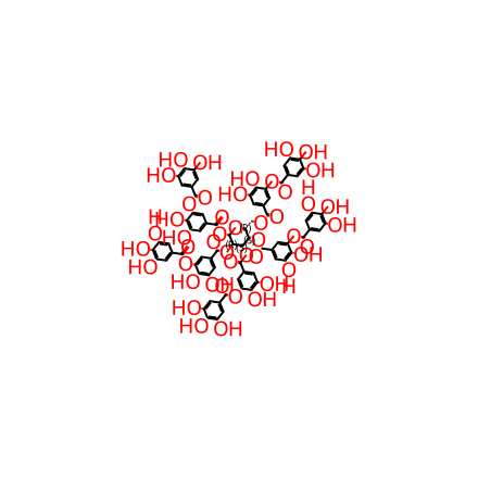 O=C(OC[C@H]1OC(OC(=O)c2cc(O)c(O)c(OC(=O)c3cc(O)c(O)c(O)c3)c2)[C@H](OC(=O)c2cc(O)c(O)c(OC(=O)c3cc(O)c(O)c(O)c3)c2)[C@@H](OC(=O)c2cc(O)c(O)c(OC(=O)c3cc(O)c(O)c(O)c3)c2)[C@H]1OC(=O)c1cc(O)c(O)c(OC(=O)c2cc(O)c(O)c(O)c2)c1)c1cc(O)c(O)c(OC(=O)c2cc(O)c(O)c(O)c2)c1